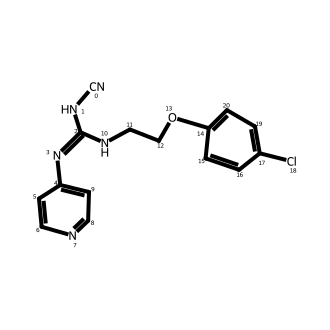 N#CNC(=Nc1ccncc1)NCCOc1ccc(Cl)cc1